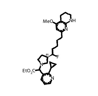 CCOC(=O)C(c1cccnc1C1CC1)N1CC[C@@H](C(F)CCCCc2cc(OC)c3c(n2)NCCC3)C1